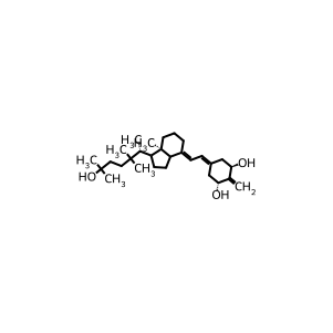 C=C1[C@H](O)CC(=C/C=C2\CCC[C@@]3(C)C2CCC3[C@@H](C)C(C)(C)CCC(C)(C)O)C[C@H]1O